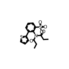 CCC(=O)N(C(=O)CC)c1c(-c2cccs2)cccc1S(=O)(=O)Cl